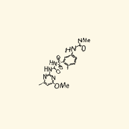 CNC(=O)Nc1ccc(C)c(S(=O)(=O)NC(=O)Nc2nc(C)cc(OC)n2)c1